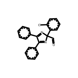 O=[C]C1(c2ccccc2Cl)N=C(c2ccccc2)C(c2ccccc2)=N1